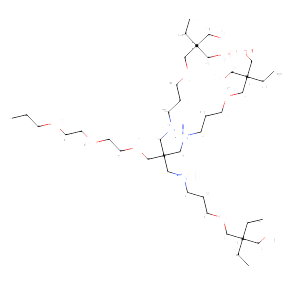 CCCOCCOCCOCC(CNCCCOCC(CC)(CC)CO)(CNCCCOCC(CC)(CO)CO)CNCCCOCC(CC)(CO)CO